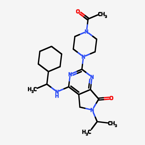 CC(=O)N1CCN(c2nc(NC(C)C3CCCCC3)c3c(n2)C(=O)N(C(C)C)C3)CC1